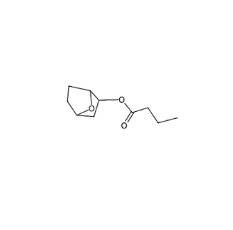 CCCC(=O)OC1CC2CCC1O2